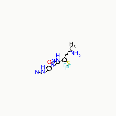 C[C@H](N)CCCc1cc(SC(F)(F)F)cc(-c2cc3cn(-c4ccc(CNCC#N)cc4)c(=O)nc3[nH]2)c1